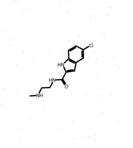 CNCCNC(=O)c1cc2cc(Cl)ccc2[nH]1